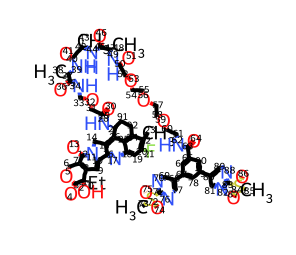 CC[C@@]1(O)C(=O)OCc2c1cc1n(c2=O)Cc2c-1nc1cc(F)c(C)c3c1c2[C@@H](NC(=O)COCNC(=O)[C@H](C)NC(=O)[C@H](C)NC(=O)[C@H](C)NC(=O)COCCOCCOCCNC(=O)c1cc(-c2cnc(S(C)(=O)=O)nc2)cc(-c2cnc(S(C)(=O)=O)nc2)c1)CC3